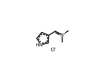 C[N+](C)=Cc1cc[nH]c1.[Cl-]